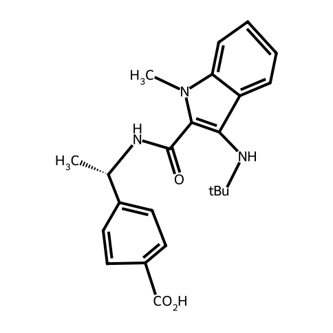 C[C@H](NC(=O)c1c(NC(C)(C)C)c2ccccc2n1C)c1ccc(C(=O)O)cc1